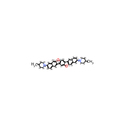 CC1CCN(c2ccc3cc4c(cc3c2)oc2cc3c(cc24)oc2cc4cc(N5CCC(C)CC5)ccc4cc23)CC1